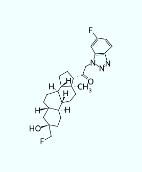 C[C@]12CC[C@H]3[C@@H](CC[C@H]4C[C@@](O)(CF)CC[C@@H]43)[C@@H]1CC[C@@H]2C(=O)Cn1nnc2ccc(F)cc21